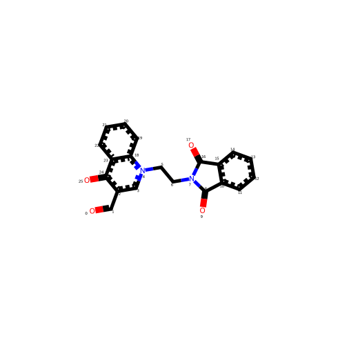 O=Cc1cn(CCN2C(=O)c3ccccc3C2=O)c2ccccc2c1=O